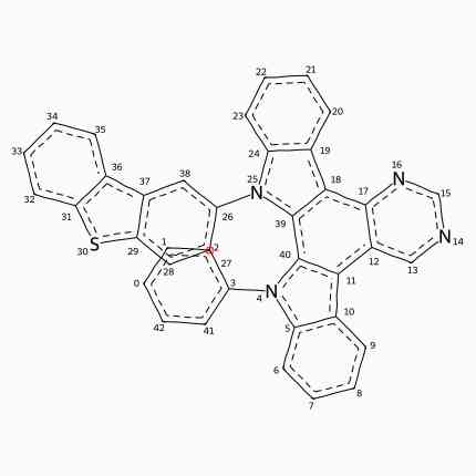 c1ccc(-n2c3ccccc3c3c4cncnc4c4c5ccccc5n(-c5ccc6sc7ccccc7c6c5)c4c32)cc1